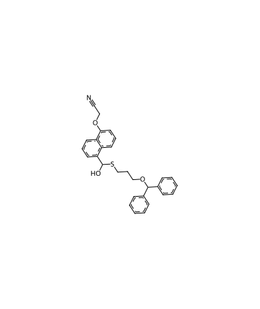 N#CCOc1cccc2c(C(O)SCCCOC(c3ccccc3)c3ccccc3)cccc12